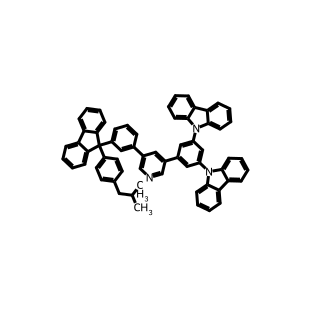 CC(C)Cc1ccc(C2(c3cccc(-c4cncc(-c5cc(-n6c7ccccc7c7ccccc76)cc(-n6c7ccccc7c7ccccc76)c5)c4)c3)c3ccccc3-c3ccccc32)cc1